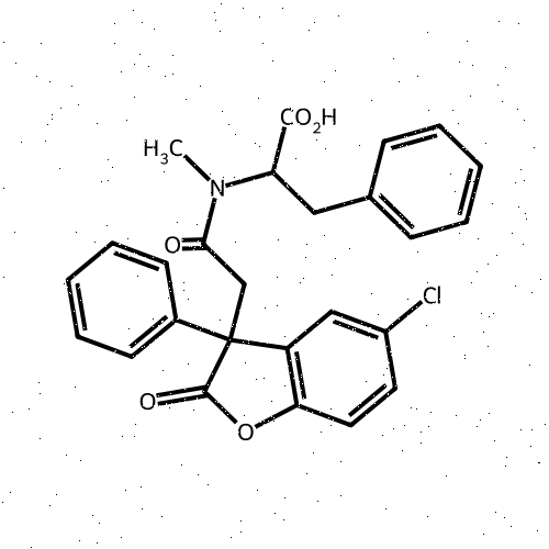 CN(C(=O)CC1(c2ccccc2)C(=O)Oc2ccc(Cl)cc21)C(Cc1ccccc1)C(=O)O